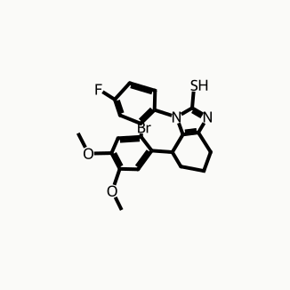 COc1cc(Br)c(C2CCCc3nc(S)n(-c4ccc(F)cc4)c32)cc1OC